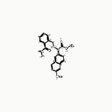 COc1ccc2cc(N(NCc3ccccc3C(=O)NC(C)C)C(=O)OC(C)(C)C)ccc2c1